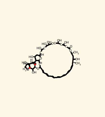 C[C@H]1CC(O)[C@@H](C)/C=C/C=C/C=C/C=C/C=C/C=C/C=C/C(O[C@@H]2OCC(O)[C@H](N)C2O)C[C@@H]2OC(O)(CC(O)CC(O)C(O)CCC(O)CC(O)CC(=O)O1)C[C@H](O)C2C(=O)N[C@H]1COC[C@@H]1O